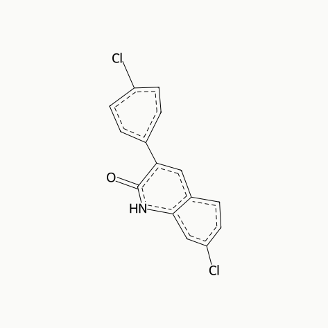 O=c1[nH]c2cc(Cl)ccc2cc1-c1ccc(Cl)cc1